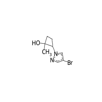 CC1(O)CCC1n1cc(Br)cn1